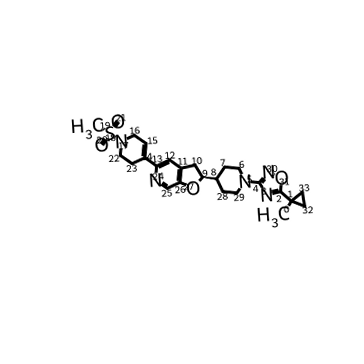 CC1(c2nc(N3CCC([C@@H]4Cc5cc(C6=CCN(S(C)(=O)=O)CC6)ncc5O4)CC3)no2)CC1